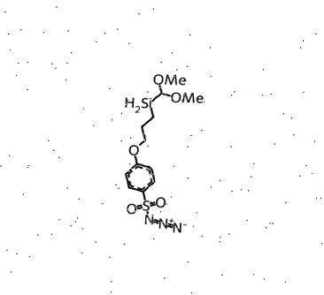 COC(OC)[SiH2]CCCOc1ccc(S(=O)(=O)N=[N+]=[N-])cc1